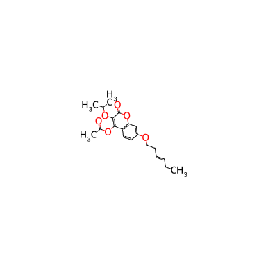 CCC=CCCOc1ccc2c(OC(C)=O)c(OC(C)C)c(=O)oc2c1